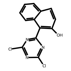 Oc1ccc2ccccc2c1-c1nc(Cl)nc(Cl)n1